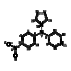 O=[N+]([O-])c1ccc(N(c2ccncc2)n2cccc2)cc1